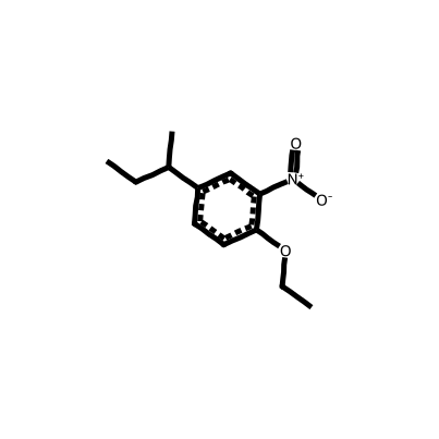 CCOc1ccc(C(C)CC)cc1[N+](=O)[O-]